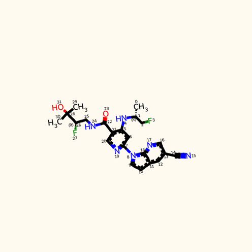 C[C@H](CF)Nc1cc(-n2ccc3cc(C#N)cnc32)ncc1C(=O)NC[C@@H](F)C(C)(C)O